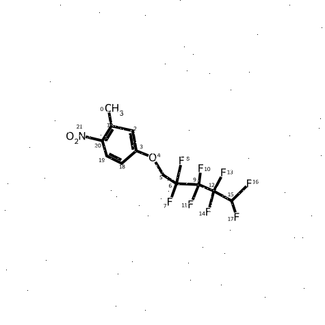 Cc1cc(OCC(F)(F)C(F)(F)C(F)(F)C(F)F)ccc1[N+](=O)[O-]